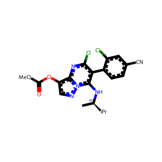 COC(=O)Oc1cnn2c(N[C@H](C)C(C)C)c(-c3ccc(C#N)cc3Cl)c(Cl)nc12